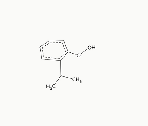 CC(C)c1ccccc1OO